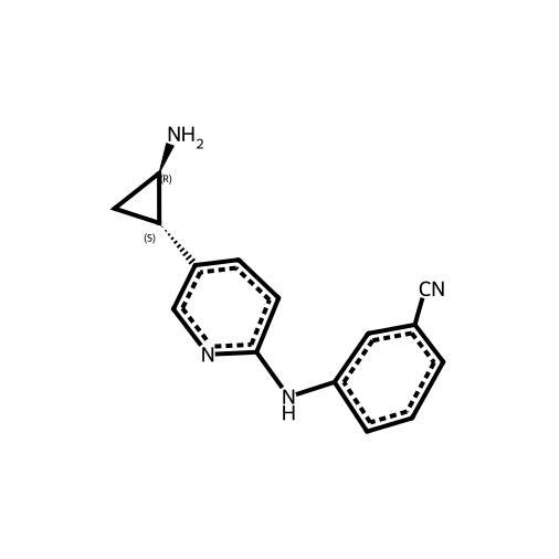 N#Cc1cccc(Nc2ccc([C@@H]3C[C@H]3N)cn2)c1